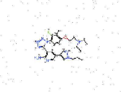 CCCn1cc(-c2cnc(N)c(-c3nnnn3-c3ccc(OCCN(CC)CC)c(C)c3F)c2)cn1